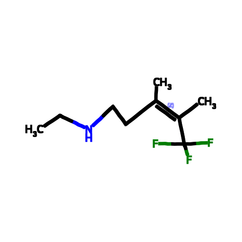 CCNCC/C(C)=C(/C)C(F)(F)F